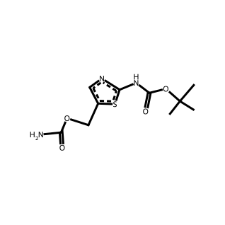 CC(C)(C)OC(=O)Nc1ncc(COC(N)=O)s1